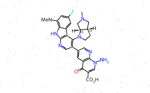 CNc1cc(F)cc2c1[nH]c1ncc(-c3cnc4c(c3)c(=O)c(C(=O)O)cn4N)c(N3CC[C@H]4CN(C)C[C@H]43)c12